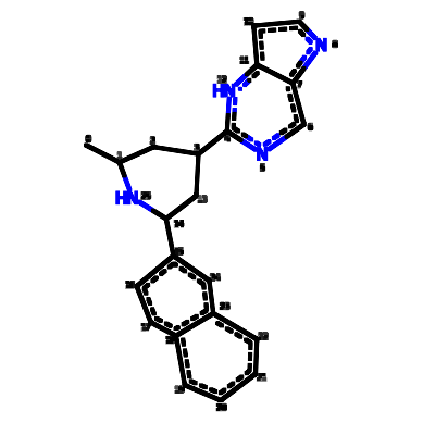 CC1CC(c2ncc3nccc-3[nH]2)CC(c2ccc3ccccc3c2)N1